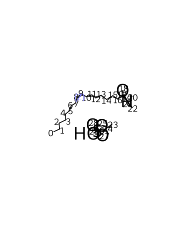 CCCCCCCC/C=C\CCCCCCCC(=O)N(C)CC.CCOS(=O)(=O)O